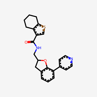 O=C(NCC1Cc2cccc(-c3ccncc3)c2O1)c1csc2c1CCCC2